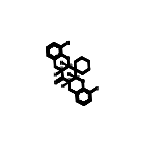 O=C1[C@@H]2Cc3cccc(Cl)c3O[C@H]2C2(CCCCC2)[C@@H]2Oc3c(Cl)cccc3C[C@@H]12